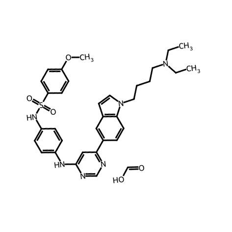 CCN(CC)CCCCn1ccc2cc(-c3cc(Nc4ccc(NS(=O)(=O)c5ccc(OC)cc5)cc4)ncn3)ccc21.O=CO